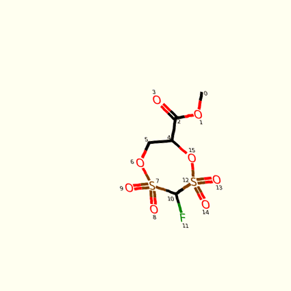 COC(=O)C1COS(=O)(=O)C(F)S(=O)(=O)O1